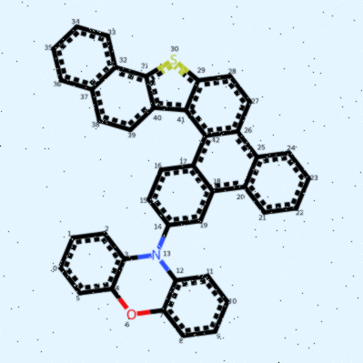 c1ccc2c(c1)Oc1ccccc1N2c1ccc2c(c1)c1ccccc1c1ccc3sc4c5ccccc5ccc4c3c12